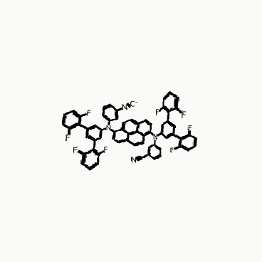 [C-]#[N+]c1cccc(N(c2cc(-c3c(F)cccc3F)cc(-c3c(F)cccc3F)c2)c2ccc3ccc4c(N(c5cccc(C#N)c5)c5cc(-c6c(F)cccc6F)cc(-c6c(F)cccc6F)c5)ccc5ccc2c3c54)c1